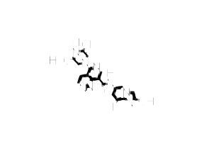 Cc1cn2cc(NC(=O)c3cnc(N4C[C@@H](C)N[C@@H](C)C4)c4ccnnc34)cc(F)c2n1